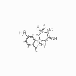 CCC1C(=N)N[C@](C)(c2cc(N)ccc2F)CS1(=O)=O